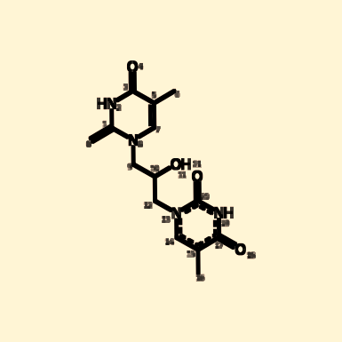 C=C1NC(=O)C(C)=CN1CC(O)Cn1cc(C)c(=O)[nH]c1=O